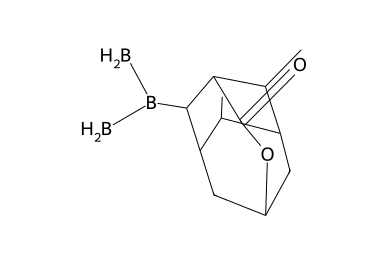 BB(B)C1C2CC3CC(C2C)C(C)C1C(=O)O3